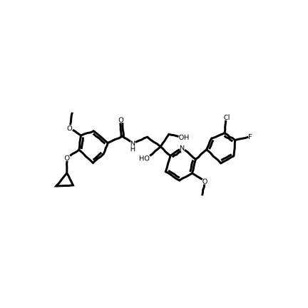 COc1cc(C(=O)NCC(O)(CO)c2ccc(OC)c(-c3ccc(F)c(Cl)c3)n2)ccc1OC1CC1